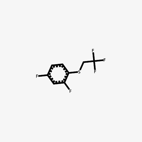 Fc1ccc(SCC(F)(F)F)c(F)c1